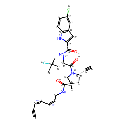 C#C/C=C\C=C/CNC(=O)[C@@]1(C)C[C@@H](C#C)N(C(=O)[C@H](CC(C)(C)F)NC(=O)c2cc3cc(Cl)ccc3[nH]2)C1